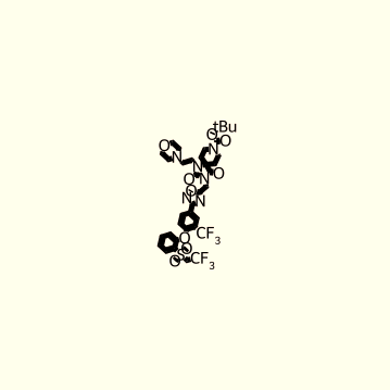 CC(C)(C)OC(=O)N1CCC2(CC1)C(=O)N(Cc1nc(-c3ccc(Oc4ccccc4S(=O)(=O)CC(F)(F)F)c(C(F)(F)F)c3)no1)C(=O)N2CCN1CCOCC1